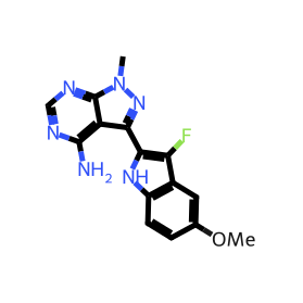 COc1ccc2[nH]c(-c3nn(C)c4ncnc(N)c34)c(F)c2c1